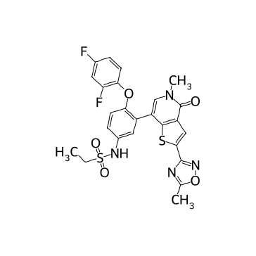 CCS(=O)(=O)Nc1ccc(Oc2ccc(F)cc2F)c(-c2cn(C)c(=O)c3cc(-c4noc(C)n4)sc23)c1